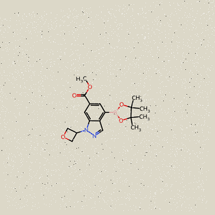 COC(=O)c1cc(B2OC(C)(C)C(C)(C)O2)c2cnn(C3COC3)c2c1